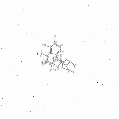 Cn1c(=O)cc(N2CC3CCC(C2)N3C(=O)OC(C)(C)C)c2cnc(Cl)c(F)c21